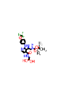 CC(C)(C)OC(=O)NCc1nn(-c2ccc(OC(F)(F)F)cc2)c2nccc(C(=O)NCC(O)O)c12